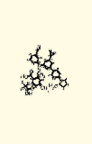 C[C@H]1CCCN1c1ccc(-c2cc(C3CC3)cc(Nc3cc(C#N)ccn3)n2)cn1.Cc1ccc(C(=O)O)c(C)c1.O=C(O)C(F)(F)F